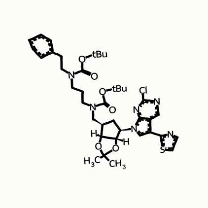 CC(C)(C)OC(=O)N(CCCN(C[C@H]1C[C@@H](n2cc(-c3nccs3)c3cnc(Cl)nc32)[C@@H]2OC(C)(C)O[C@H]12)C(=O)OC(C)(C)C)CCc1ccccc1